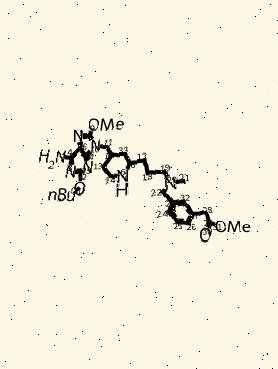 CCCCOc1nc(N)c2nc(OC)n(CC3CCNC(CCCN(C)Cc4cccc(CC(=O)OC)c4)C3)c2n1